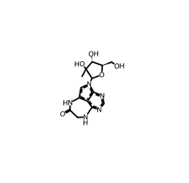 CC1(O)C(n2cc3c4c(ncnc42)NCC(=O)N3)O[C@H](CO)[C@H]1O